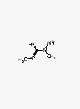 CCCN(C)/C(S)=P/C